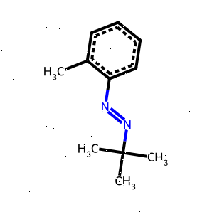 Cc1ccccc1N=NC(C)(C)C